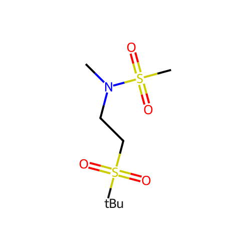 CN(CCS(=O)(=O)C(C)(C)C)S(C)(=O)=O